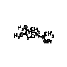 C=C1COC(C)(CCN(C)CCC)C1=C